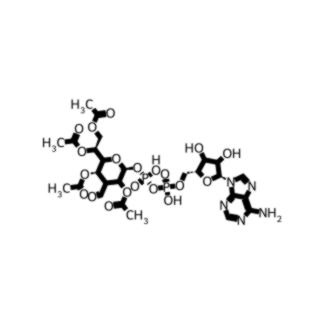 CC(=O)OC[C@H](OC(C)=O)C1O[C@@H](OP(=O)(O)OP(=O)(O)OC[C@H]2O[C@@H](n3cnc4c(N)ncnc43)C(O)C2O)C(OC(C)=O)C(C=O)[C@@H]1OC(C)=O